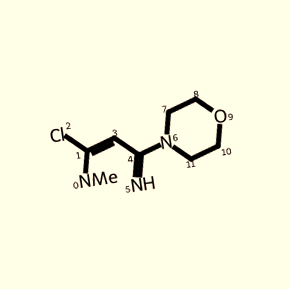 CN/C(Cl)=C\C(=N)N1CCOCC1